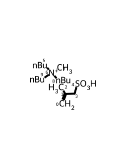 C=C(C)CS(=O)(=O)O.CCCC[N+](C)(CCCC)CCCC